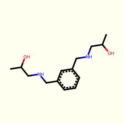 CC(O)CNCc1cccc(CNCC(C)O)c1